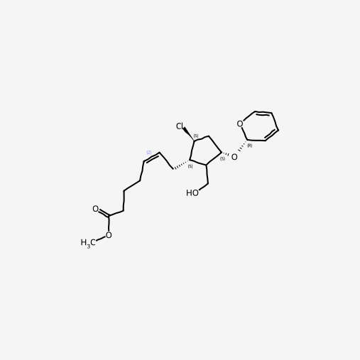 COC(=O)CCC/C=C\C[C@H]1C(CO)[C@@H](O[C@H]2C=CC=CO2)C[C@@H]1Cl